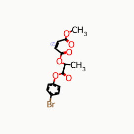 COC(=O)/C=C\C(=O)OC(C)C(=O)Oc1ccc(Br)cc1